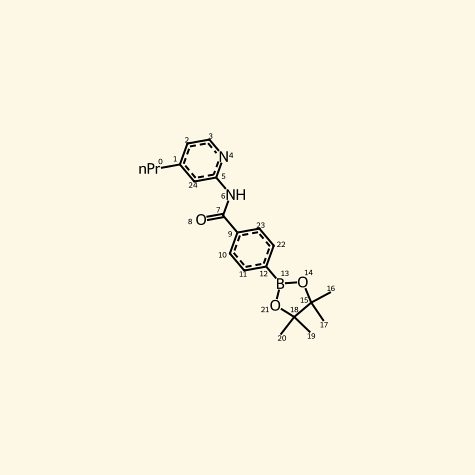 CCCc1ccnc(NC(=O)c2ccc(B3OC(C)(C)C(C)(C)O3)cc2)c1